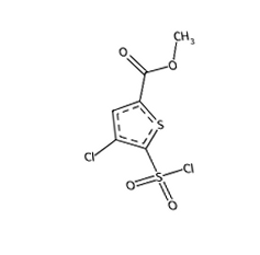 COC(=O)c1cc(Cl)c(S(=O)(=O)Cl)s1